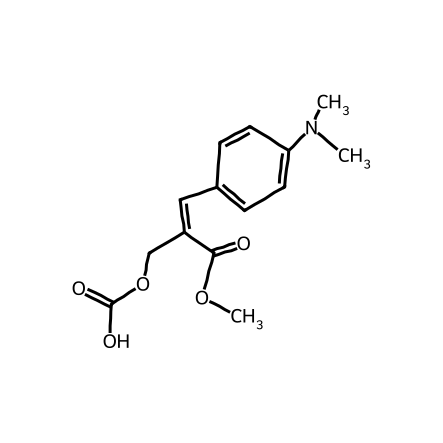 COC(=O)/C(=C\c1ccc(N(C)C)cc1)COC(=O)O